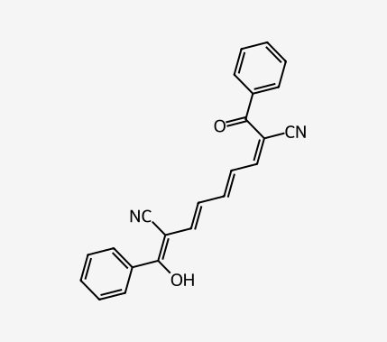 N#CC(=CC=CC=C/C(C#N)=C(\O)c1ccccc1)C(=O)c1ccccc1